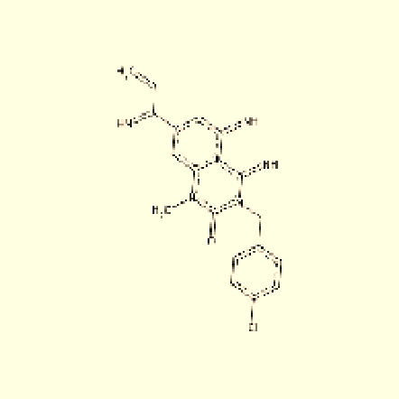 C=CC(=N)c1cc(=N)n2c(=N)n(Cc3ccc(Cl)cc3)c(=O)n(C)c2c1